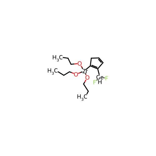 CCC[O][Zr]([O]CCC)([O]CCC)[C]1=[C]([GeH]([F])[F])C=CC1